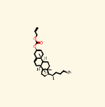 C=CCOC(=O)O[C@H]1CC[C@@]2(C)C(=CC[C@H]3[C@@H]4CC[C@H]([C@H](C)CCCC(C)C)[C@@]4(C)CC[C@@H]32)C1